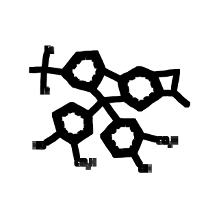 CCC(C)(CC)c1ccc2c(c1)C(c1ccc(O)c(C(=O)O)c1)(c1ccc(O)c(C(=O)O)c1)c1cc3c(cc1-2)CC3C